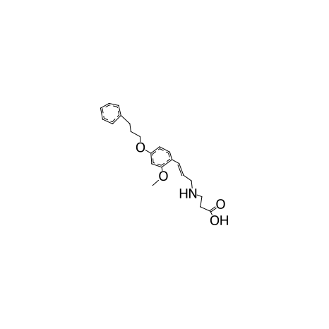 COc1cc(OCCCc2ccccc2)ccc1C=CCNCCC(=O)O